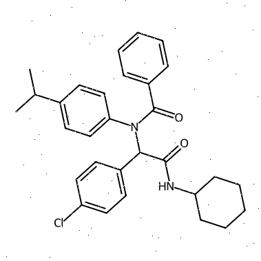 CC(C)c1ccc(N(C(=O)c2ccccc2)C(C(=O)NC2CCCCC2)c2ccc(Cl)cc2)cc1